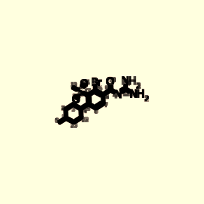 CC1CCC(c2ccc(C(=O)N=C(N)N)c(Br)c2S(C)(=O)=O)CC1